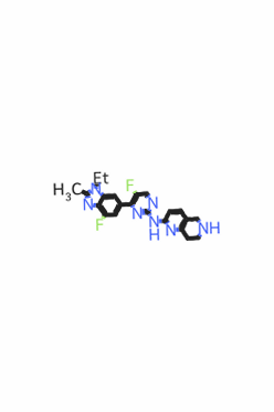 CCn1c(C)nc2c(F)cc(-c3nc(Nc4ccc5c(n4)CCNC5)ncc3F)cc21